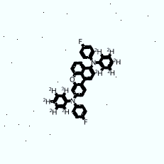 [2H]c1c([2H])c([2H])c(N(c2ccc(F)cc2)c2ccc3c(c2)Oc2cccc4c(N(c5ccc(F)cc5)c5c([2H])c([2H])c([2H])c([2H])c5[2H])ccc-3c24)c([2H])c1[2H]